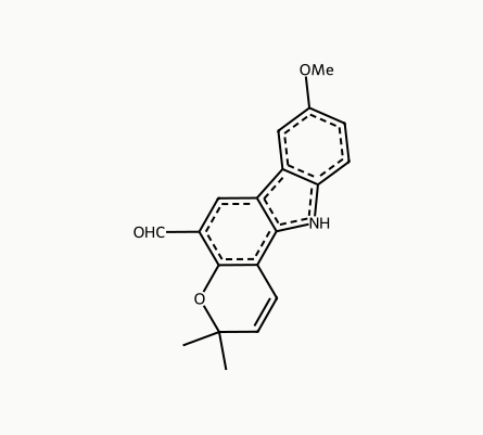 COc1ccc2[nH]c3c4c(c(C=O)cc3c2c1)OC(C)(C)C=C4